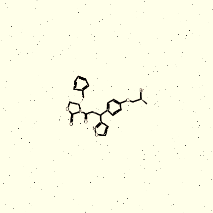 C[C@H](Br)COc1ccc(C(CC(=O)N2C(=O)OC[C@@H]2Cc2ccccc2)c2ccon2)cc1